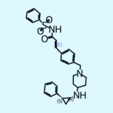 O=C(/C=C/c1ccc(CN2CCC(N[C@@H]3C[C@H]3c3ccccc3)CC2)cc1)NS(=O)(=O)c1ccccc1